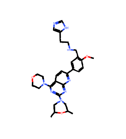 COc1ccc(-c2ccc3c(N4CCOCC4)nc(N4CC(C)OC(C)C4)nc3n2)cc1CNCCc1cnc[nH]1